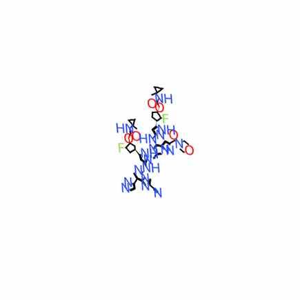 Cn1nccc1-c1cnc(Nc2cc([C@H]3C[C@@H](F)[C@@H](OC(=O)NC4(C)CC4)C3)[nH][n+]2Cc2cn3nc(C(=O)N4CCOCC4)cc3c(Nc3cc([C@@H]4CC[C@H](OC(=O)NC5(C)CC5)[C@H]4F)[nH]n3)n2)n2cc(C#N)nc12